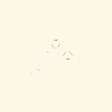 CC(C)(C)OC(=O)N1CCN(C[C@H](NS(=O)(=O)c2ccc(OC(F)(F)F)cc2)c2ccc(F)cc2)CC1